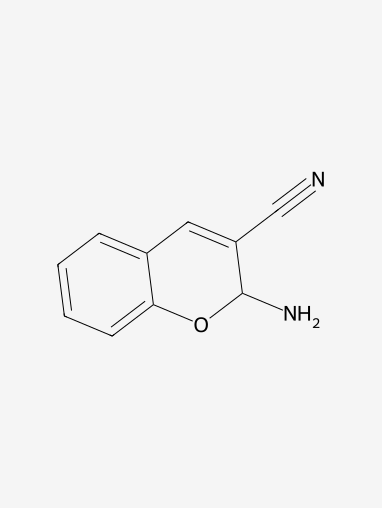 N#CC1=Cc2ccccc2OC1N